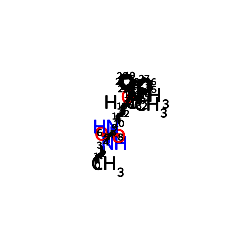 CCCCNC(=O)C(=O)NCCCCCO[Si](c1ccccc1)(c1ccccc1)C(C)(C)C